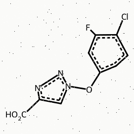 O=C(O)c1cn(Oc2ccc(Cl)c(F)c2)nn1